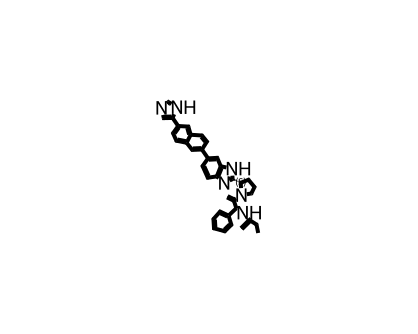 C=C(CC)NC(C(=C)N1CCC[C@H]1c1nc2ccc(-c3ccc4cc(-c5cnc[nH]5)ccc4c3)cc2[nH]1)c1ccccc1